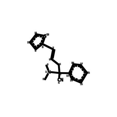 CN(C)C(C#N)(CC=Cc1cccs1)c1ccccc1